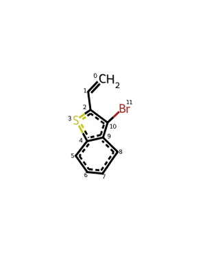 C=Cc1sc2ccccc2c1Br